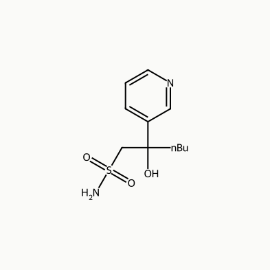 CCCCC(O)(CS(N)(=O)=O)c1cccnc1